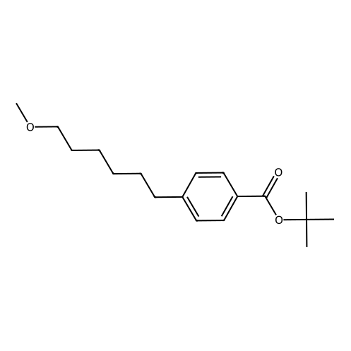 COCCCCCCc1ccc(C(=O)OC(C)(C)C)cc1